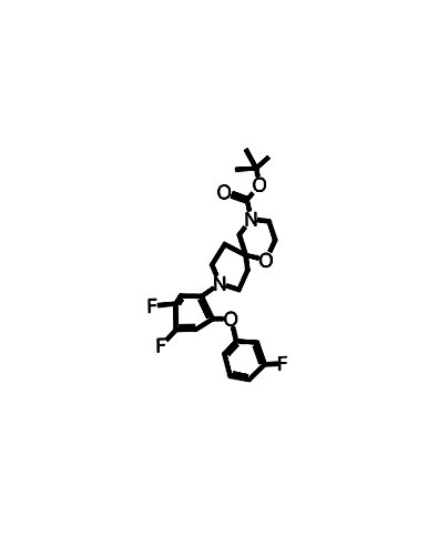 CC(C)(C)OC(=O)N1CCOC2(CCN(c3cc(F)c(F)cc3Oc3cccc(F)c3)CC2)C1